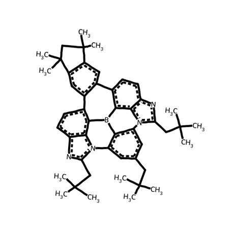 CC(C)(C)Cc1cc2c3c(c1)-n1c(CC(C)(C)C)nc4ccc5c(c41)B3c1c(ccc3nc(CC(C)(C)C)n-2c13)-c1cc2c(cc1-5)C(C)(C)CC2(C)C